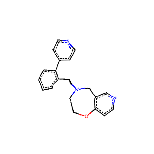 c1ccc(-c2ccncc2)c(CN2CCOc3ccncc3C2)c1